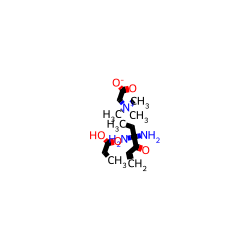 C=CC(=O)C(N)(N)CC.CCC(=O)O.C[N+](C)(C)CC(=O)[O-]